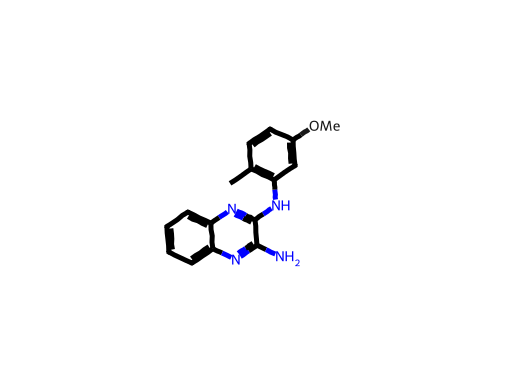 COc1ccc(C)c(Nc2nc3ccccc3nc2N)c1